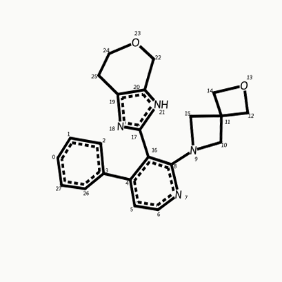 c1ccc(-c2ccnc(N3CC4(COC4)C3)c2-c2nc3c([nH]2)COCC3)cc1